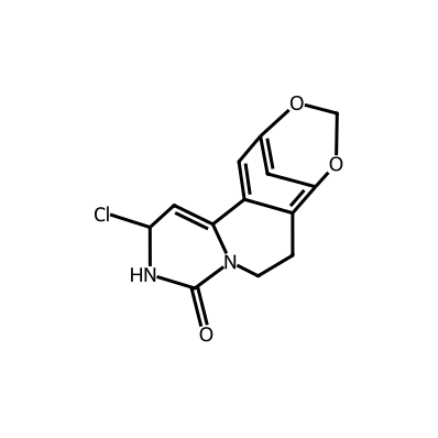 O=C1NC(Cl)C=C2c3cc4cc(c3CCN12)OCO4